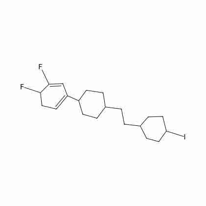 FC1=CC(C2CCC(CCC3CCC(I)CC3)CC2)=CCC1F